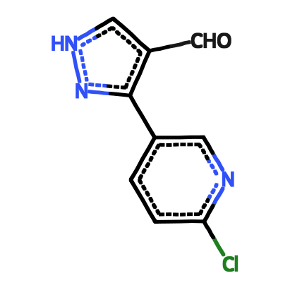 O=Cc1c[nH]nc1-c1ccc(Cl)nc1